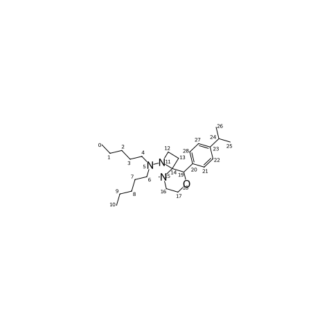 CCCCCN(CCCCC)N1CCC12[N]CCOC2c1ccc(C(C)C)cc1